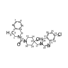 CCN(Cc1ccccc1)C(=O)N1CCC(O)(CN2C=Nc3cc(Cl)ccc3C2)CC1